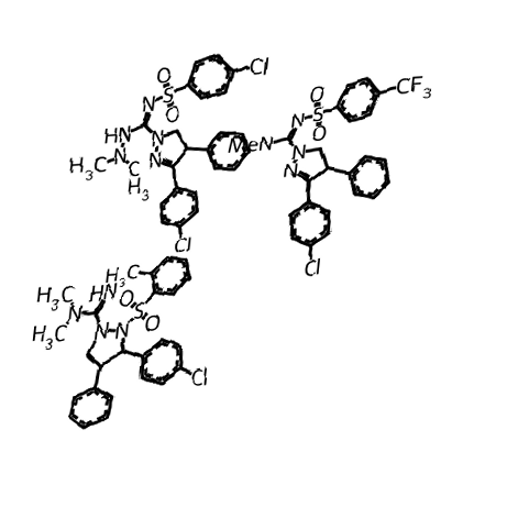 CN(C)NC(=NS(=O)(=O)c1ccc(Cl)cc1)N1CC(c2ccccc2)C(c2ccc(Cl)cc2)=N1.CNC(=NS(=O)(=O)c1ccc(C(F)(F)F)cc1)N1CC(c2ccccc2)C(c2ccc(Cl)cc2)=N1.Cc1ccccc1S(=O)(=O)N1C(c2ccc(Cl)cc2)C(c2ccccc2)CN1C(=N)N(C)C